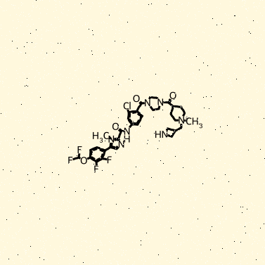 Cn1c(-c2ccc(OC(F)F)c(F)c2F)cnc1C(=O)Nc1ccc(C(=O)N2CCN(C(=O)C3CC[N+](C)(CC4CNC4)CC3)CC2)c(Cl)c1